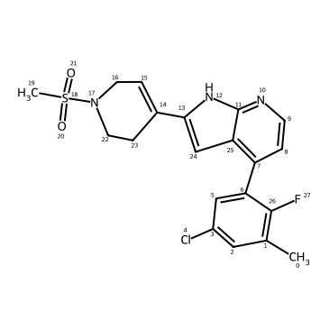 Cc1cc(Cl)cc(-c2ccnc3[nH]c(C4=CCN(S(C)(=O)=O)CC4)cc23)c1F